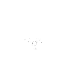 CSCCC(N)C(=O)Nc1cc(NC(=O)CSCCCOC2CCCCC2)cc(C(=O)O)c1